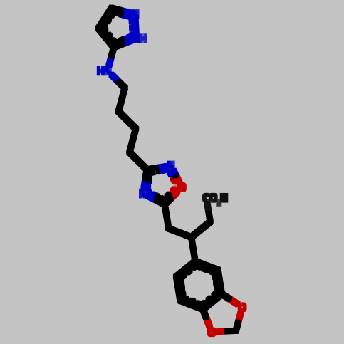 O=C(O)CC(Cc1nc(CCCCNc2ccn[nH]2)no1)c1ccc2c(c1)OCO2